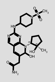 C[C@@]1(O)CCC[C@H]1N1c2nc(NC3CCN(S(C)(=O)=O)CC3)ncc2C=C(CC(N)=O)C1O